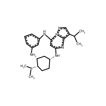 CC(C)c1cnn2c(Nc3cccc(N)c3)cc(N[C@H]3CC[C@@H](N(C)C)CC3)nc12